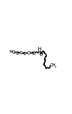 CC/C=C\C/C=C\C/C=C\CC#CC/C=C\C/C=C\C(=O)NCCOCCOCCOCCOCCOCCO